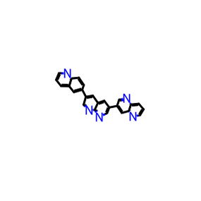 c1cnc2ccc(-c3cnc4ncc(-c5cnc6cccnc6c5)cc4c3)cc2c1